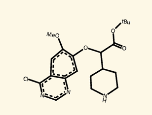 COc1cc2c(Cl)ncnc2cc1OC(C(=O)OC(C)(C)C)C1CCNCC1